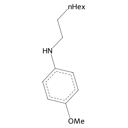 CCCCCCCCNc1ccc(OC)cc1